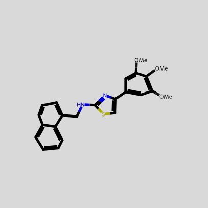 COc1cc(-c2csc(NCc3cccc4ccccc34)n2)cc(OC)c1OC